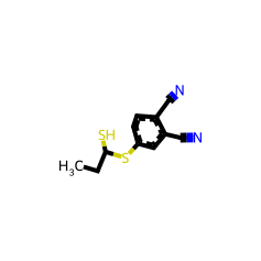 CCC(S)Sc1ccc(C#N)c(C#N)c1